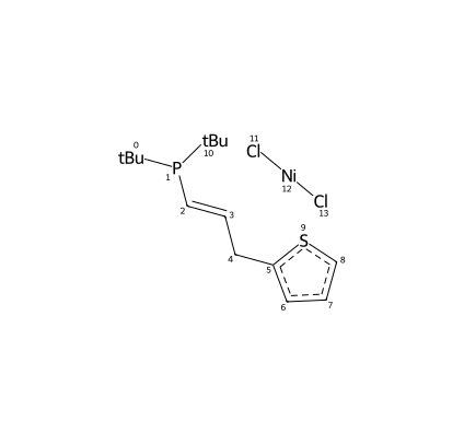 CC(C)(C)P(C=CCc1cccs1)C(C)(C)C.[Cl][Ni][Cl]